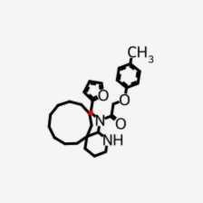 Cc1ccc(OCC(=O)N(Cc2ccco2)C2NCCCC23CCCCCCCCCC3)cc1